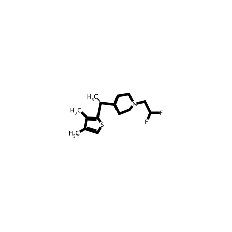 Cc1csc([C@H](C)C2CCN(CC(F)F)CC2)c1C